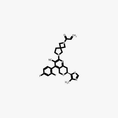 C=CC(=O)N1CC2(CCN(c3nc4c(c(-c5ccc(F)cc5F)c3C#N)CO[C@H](c3scnc3C)C4)C2)C1